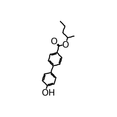 CCCC(C)OC(=O)c1ccc(-c2ccc(O)cc2)cc1